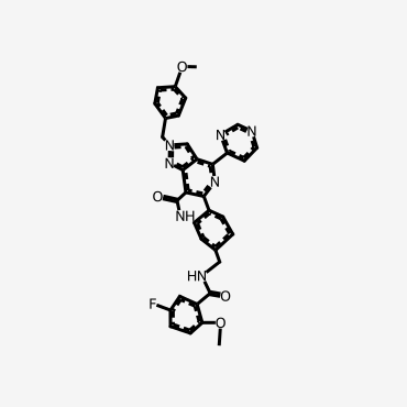 COc1ccc(Cn2cc3c(-c4ccncn4)nc(-c4ccc(CNC(=O)c5cc(F)ccc5OC)cc4)c(C(N)=O)c3n2)cc1